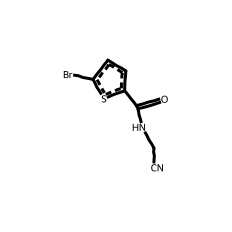 N#CCNC(=O)c1ccc(Br)s1